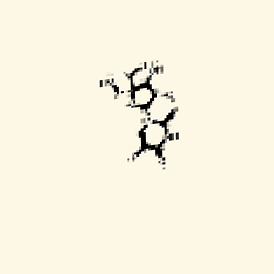 C=C1NC(=O)C(F)=CN1[C@@H]1O[C@@](CO)(CCl)[C@@H](O)[C@H]1Cl